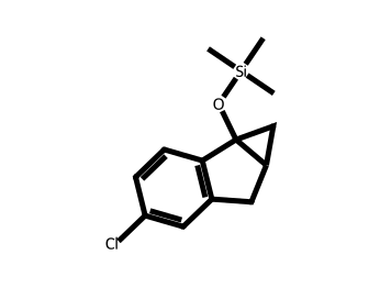 C[Si](C)(C)OC12CC1Cc1cc(Cl)ccc12